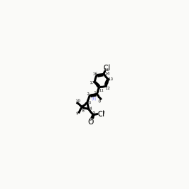 C/C(=C\C1C(C(=O)Cl)C1(C)C)c1ccc(Cl)cc1